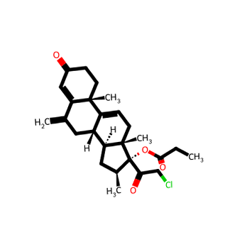 C=C1C[C@@H]2C(=CC[C@@]3(C)[C@H]2C[C@H](C)[C@]3(OC(=O)CC)C(=O)CCl)[C@@]2(C)CCC(=O)C=C12